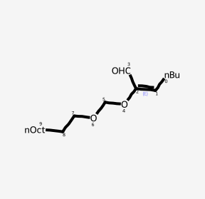 CCCC/C=C(\C=O)OCOCCCCCCCCCC